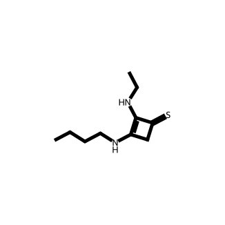 CCCCNC1=C(NCC)C(=S)C1